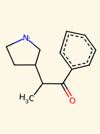 CC(C(=O)c1ccccc1)C1CC[N]C1